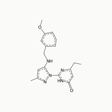 CCc1cc(=O)[nH]c(-n2nc(C)cc2NCc2cccc(OC)c2)n1